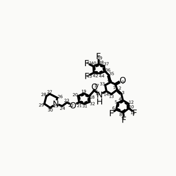 O=C1/C(=C/c2cc(F)c(F)c(F)c2)CC(NC(=O)c2ccc(OCCN3CCCCC3)cc2)C/C1=C\c1cc(F)c(F)c(F)c1